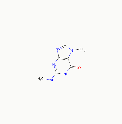 CNc1nc2n[c]n(C)c2c(=O)[nH]1